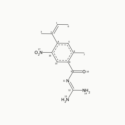 C/C=C(/C)c1cc(C)c(C(=O)N=C(N)N)cc1[N+](=O)[O-]